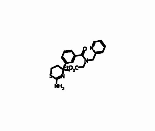 CCOC(=O)CN(Cc1ccccn1)C(=O)c1cccc(C2(C)CCSC(N)=N2)c1